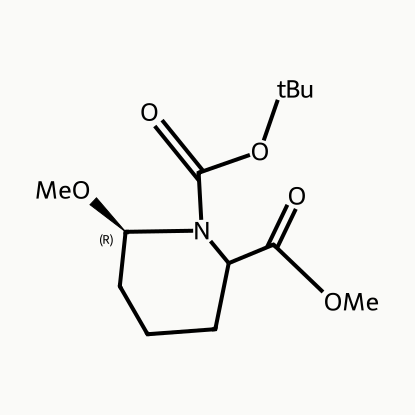 COC(=O)C1CCC[C@@H](OC)N1C(=O)OC(C)(C)C